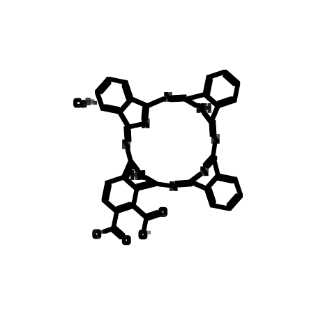 O=C([O-])c1ccc2c3nc4nc(nc5[nH]c(nc6nc(nc([nH]3)c2c1C(=O)[O-])-c1ccccc1-6)c1ccccc51)-c1ccccc1-4.[Co+2]